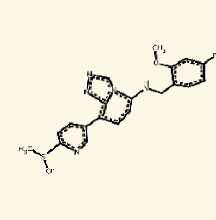 COc1cc(F)ccc1CNc1ccc(-c2ccc([S+](C)[O-])nc2)c2nncn12